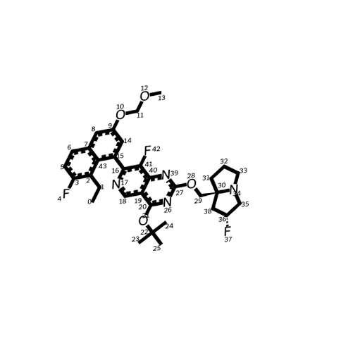 CCc1c(F)ccc2cc(OCOC)cc(-c3ncc4c(OC(C)(C)C)nc(OC[C@@]56CCCN5C[C@H](F)C6)nc4c3F)c12